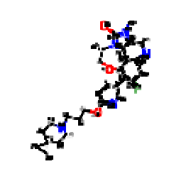 C[C@H]1COc2c(-c3ccc(OCCCN4CCC5(CC4)CC5)nc3)c(F)cc3ncc4c(c23)n1c(=O)n4C